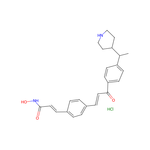 CC(c1ccc(C(=O)C=Cc2ccc(C=CC(=O)NO)cc2)cc1)C1CCNCC1.Cl